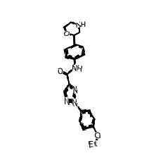 CCOc1ccc(-n2ncc(C(=O)Nc3ccc(C4CNCCO4)cc3)n2)cc1